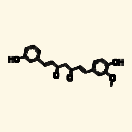 COc1cc(C=CC(=O)CC(=O)C=Cc2cccc(O)c2)ccc1O